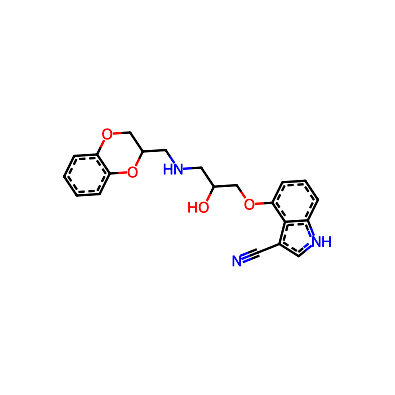 N#Cc1c[nH]c2cccc(OCC(O)CNCC3COc4ccccc4O3)c12